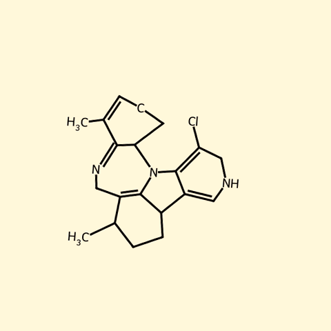 CC1=CCCC2C1=NCC1=C3C(CCC1C)C1=CNCC(Cl)=C1N32